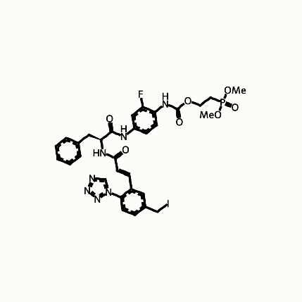 COP(=O)(CCOC(=O)Nc1ccc(NC(=O)[C@H](Cc2ccccc2)NC(=O)/C=C/c2cc(CI)ccc2-n2cnnn2)cc1F)OC